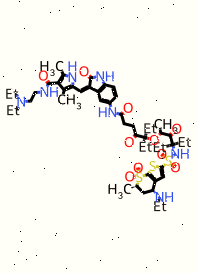 CCN[C@H]1C[C@H](C)S(=O)(=O)c2sc(S(=O)(=O)NC(CC)(CC)C(=O)C(C)OC(CC)(CC)C(=O)CCC(=O)Nc3ccc4c(c3)/C(=C/c3[nH]c(C)c(C(=O)NCCN(CC)CC)c3C)C(=O)N4)cc21